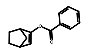 O=C(OC1=CC2CCC1C2)c1ccccc1